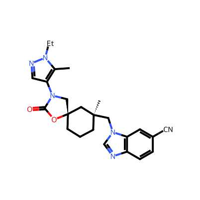 CCn1ncc(N2C[C@@]3(CCC[C@](C)(Cn4cnc5ccc(C#N)cc54)C3)OC2=O)c1C